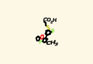 Cc1cc(F)c(OC2CCCC2)c(-c2ccc(SCCCC(=O)O)c(F)c2)c1